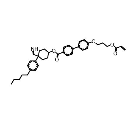 C=CC(=O)OCCCOc1ccc(-c2ccc(C(=O)OC3CCC(C=N)(c4ccc(CCCCC)cc4)CC3)cc2)cc1